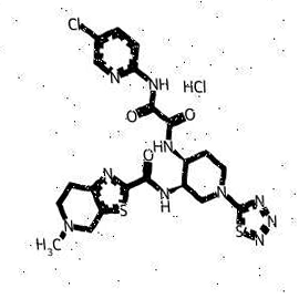 CN1CCc2nc(C(=O)N[C@@H]3CN(c4nnns4)CC[C@@H]3NC(=O)C(=O)Nc3ccc(Cl)cn3)sc2C1.Cl